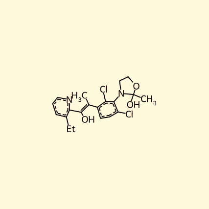 CCc1cccnc1/C(O)=C(\C)c1ccc(Cl)c(N2CCOC2(C)O)c1Cl